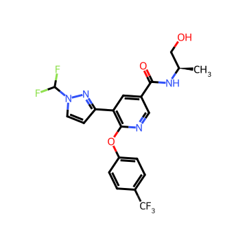 C[C@H](CO)NC(=O)c1cnc(Oc2ccc(C(F)(F)F)cc2)c(-c2ccn(C(F)F)n2)c1